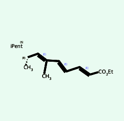 CCC[C@H](C)[C@@H](C)/C=C(C)/C=C/C=C/C(=O)OCC